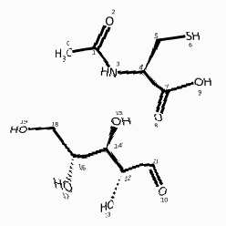 CC(=O)N[C@@H](CS)C(=O)O.O=C[C@H](O)[C@H](O)[C@H](O)CO